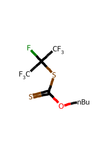 CCCCOC(=S)SC(F)(C(F)(F)F)C(F)(F)F